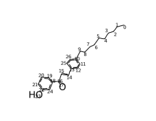 CCCCCCCCCCc1ccc(C=CC(=O)c2cccc(O)c2)cc1